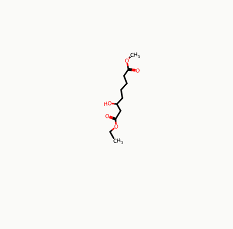 CCOC(=O)CC(O)CCCCC(=O)OC